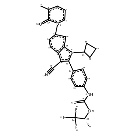 Cc1cccn(-c2ccc3c(C#N)c(-c4ccc(NC(=O)O[C@H](C)C(F)(F)F)cc4)n(C4CCC4)c3c2)c1=O